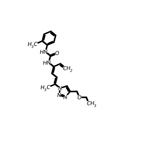 C=C/C(=C\C=C(/C)n1cc(COCC)nn1)NC(=O)Nc1ccccc1C